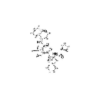 CC1(C)SCN(C(=O)[C@@H](O)[C@H](Cc2ccccc2)NC(=O)[C@@H]2CCCO2)[C@@H]1C(=O)N[C@H]1CCOc2ccccc21